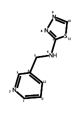 c1cncc(CNc2nncs2)c1